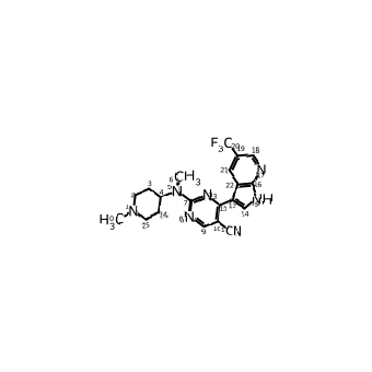 CN1CCC(N(C)c2ncc(C#N)c(-c3c[nH]c4ncc(C(F)(F)F)cc34)n2)CC1